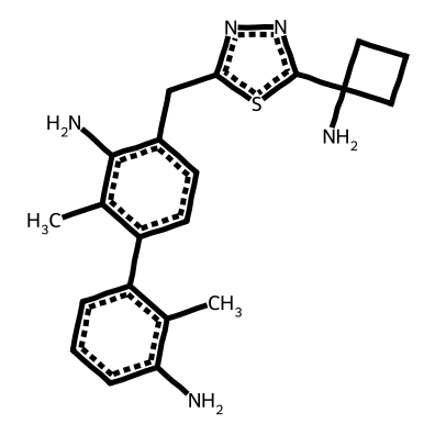 Cc1c(N)cccc1-c1ccc(Cc2nnc(C3(N)CCC3)s2)c(N)c1C